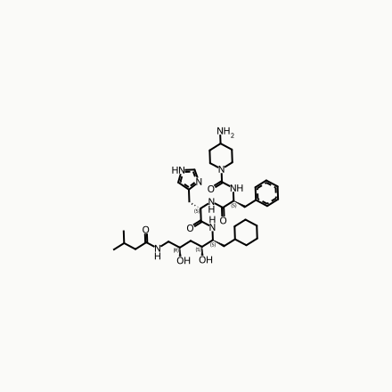 CC(C)CC(=O)NC[C@H](O)C[C@H](O)[C@H](CC1CCCCC1)NC(=O)[C@H](Cc1c[nH]cn1)NC(=O)[C@H](Cc1ccccc1)NC(=O)N1CCC(N)CC1